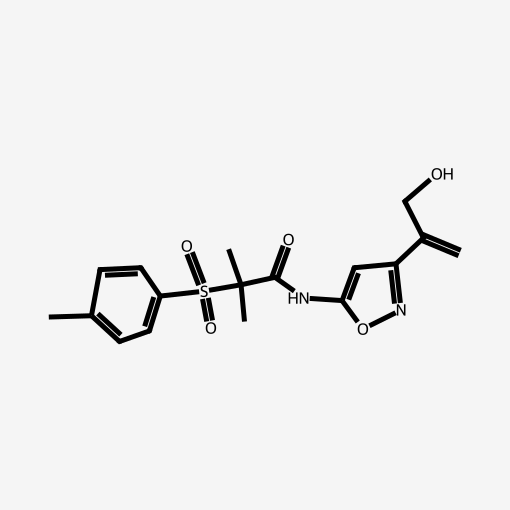 C=C(CO)c1cc(NC(=O)C(C)(C)S(=O)(=O)c2ccc(C)cc2)on1